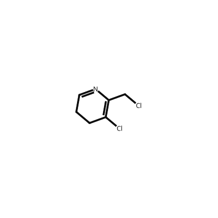 ClCC1=C(Cl)CCC=N1